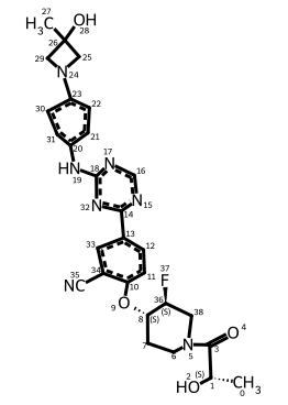 C[C@H](O)C(=O)N1CC[C@H](Oc2ccc(-c3ncnc(Nc4ccc(N5CC(C)(O)C5)cc4)n3)cc2C#N)[C@@H](F)C1